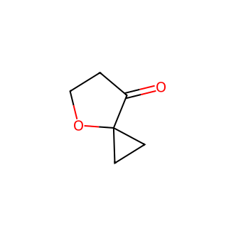 O=C1CCOC12CC2